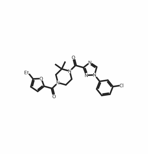 CCc1ccc(C(=O)N2CCN(C(=O)c3ncn(-c4cccc(Cl)c4)n3)C(C)(C)C2)o1